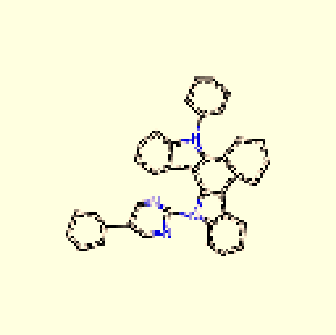 c1ccc(-c2cnc(-n3c4ccccc4c4c5ccccc5c5c(c6ccccc6n5-c5ccccc5)c43)nc2)cc1